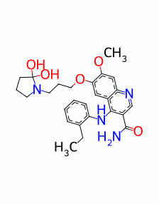 CCc1ccccc1Nc1c(C(N)=O)cnc2cc(OC)c(OCCCN3CCCC3(O)O)cc12